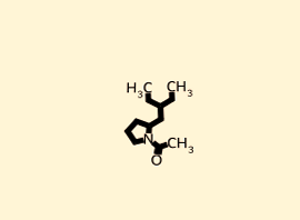 CCC(CC)CC1CCCN1C(C)=O